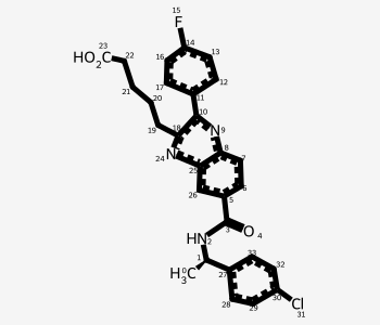 C[C@@H](NC(=O)c1ccc2nc(-c3ccc(F)cc3)c(CCCCC(=O)O)nc2c1)c1ccc(Cl)cc1